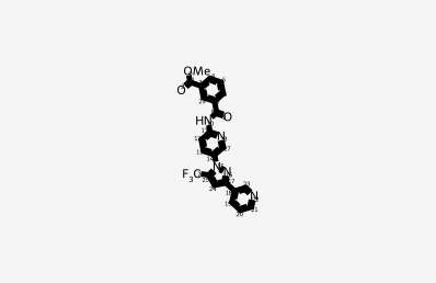 COC(=O)c1cccc(C(=O)Nc2ccc(-n3nc(-c4cccnc4)cc3C(F)(F)F)cn2)c1